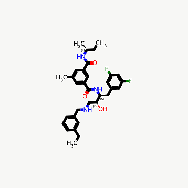 CCc1cccc(CNC[C@@H](O)[C@H](Cc2cc(F)cc(F)c2)NC(=O)c2cc(C)cc(C(=O)N[C@H](C)CC)c2)c1